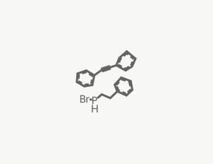 BrPCCc1ccccc1.C(#Cc1ccccc1)c1ccccc1